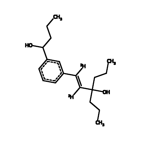 [2H]/C(=C(/[2H])C(O)(CCC)CCC)c1cccc(C(O)CCC)c1